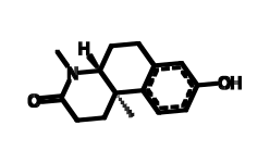 CN1C(=O)CC[C@]2(C)c3ccc(O)cc3CC[C@@H]12